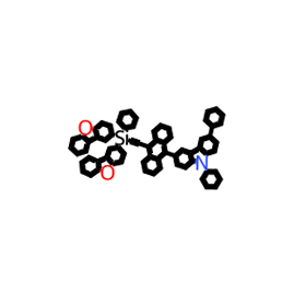 C(#C[Si](c1ccccc1)(c1ccc2oc3ccccc3c2c1)c1ccc2oc3ccccc3c2c1)c1c2ccccc2c(-c2ccc3c(c2)c2cc(-c4ccccc4)ccc2n3-c2ccccc2)c2ccccc12